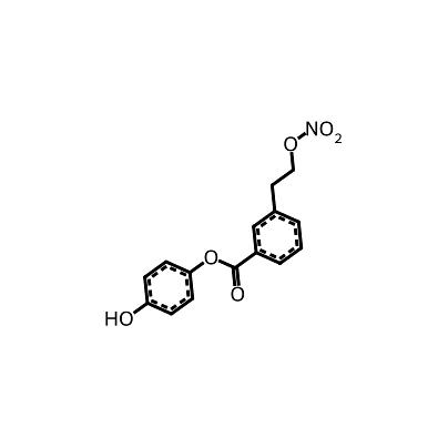 O=C(Oc1ccc(O)cc1)c1cccc(CCO[N+](=O)[O-])c1